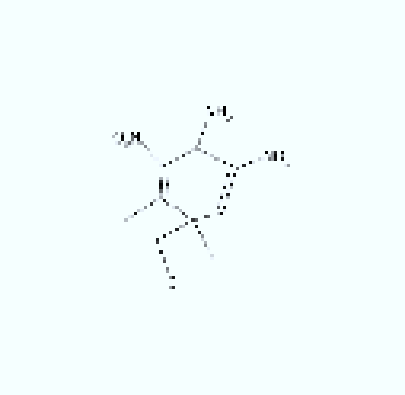 CC1=C([N+](=O)[O-])C(N)C([N+](=O)[O-])=CC1(C)CCl